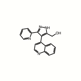 OCc1[nH]nc(-c2ccccn2)c1-c1ccnc2ccccc12